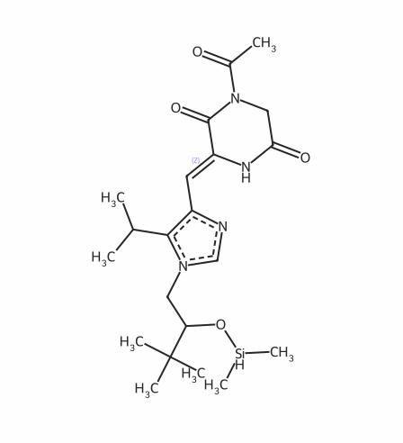 CC(=O)N1CC(=O)N/C(=C\c2ncn(CC(O[SiH](C)C)C(C)(C)C)c2C(C)C)C1=O